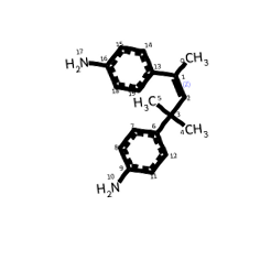 C/C(=C/C(C)(C)c1ccc(N)cc1)c1ccc(N)cc1